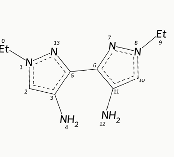 CCn1cc(N)c(-c2nn(CC)cc2N)n1